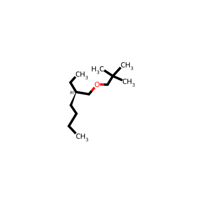 CCCC[C@@H](CC)COCC(C)(C)C